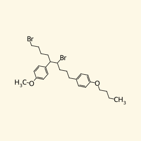 CCCCOc1ccc(CCCC(Br)C(CCCCBr)c2ccc(OC)cc2)cc1